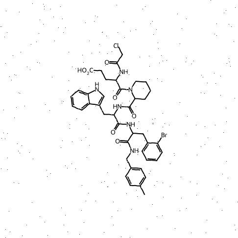 Cc1ccc(CNC(=O)C(Cc2ccccc2Br)NC(=O)C(Cc2c[nH]c3ccccc23)NC(=O)C2CCCCN2C(=O)C(CCC(=O)O)NC(=O)CCl)cc1